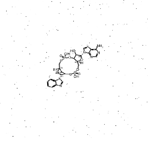 Nc1ncnc2c1ncn2[C@@H]1O[C@@H]2COP(=O)(O)OC3C(O)[C@@H](COP(=O)(O)OC2C1O)O[C@H]3n1cnc2ccccc21